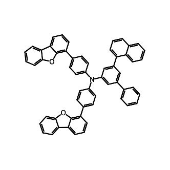 c1ccc(-c2cc(-c3cccc4ccccc34)cc(N(c3ccc(-c4cccc5c4oc4ccccc45)cc3)c3ccc(-c4cccc5c4oc4ccccc45)cc3)c2)cc1